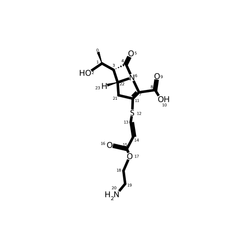 C[C@H](O)[C@@H]1C(=O)N2C(C(=O)O)=C(S/C=C/C(=O)OCCN)C[C@H]12